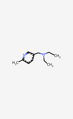 CCN(CC)Cc1ccc(C)nc1